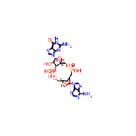 Nc1nc2c(ncn2[C@@H]2O[C@@H]3COP(=O)(O)CC4C(O)[C@@H](COP(=O)(O)OC3C2O)O[C@H]4n2cnc3c(N)ncnc32)c(=O)[nH]1